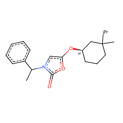 CC(c1ccccc1)n1cc(O[C@@H]2CCCC(C)(C(C)C)C2)oc1=O